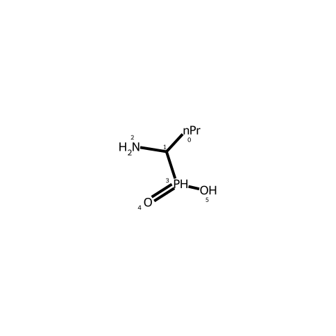 CCCC(N)[PH](=O)O